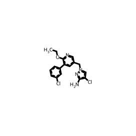 CCOc1ncc(Cn2cc(Cl)c(N)n2)cc1-c1cccc(Cl)c1